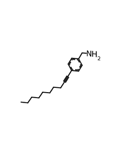 CCCCCCCCC#Cc1ccc(CN)cc1